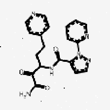 NC(=O)C(=O)C(CCc1ccncc1)NC(=O)c1ccnn1-c1ccccn1